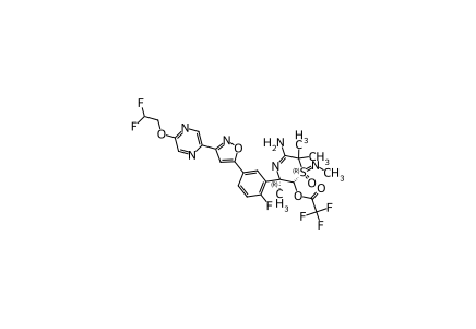 CN=[S@]1(=O)C(OC(=O)C(F)(F)F)[C@@](C)(c2cc(-c3cc(-c4cnc(OCC(F)F)cn4)no3)ccc2F)N=C(N)C1(C)C